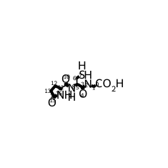 O=C(O)CNC(=O)[C@H](CS)NC(=O)[C@@H]1CCC(=O)N1